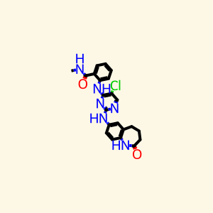 CNC(=O)c1ccccc1Nc1nc(Nc2ccc3c(c2)CCCC(=O)N3)ncc1Cl